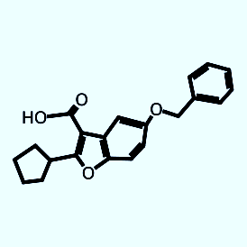 O=C(O)c1c(C2CCCC2)oc2ccc(OCc3ccccc3)cc12